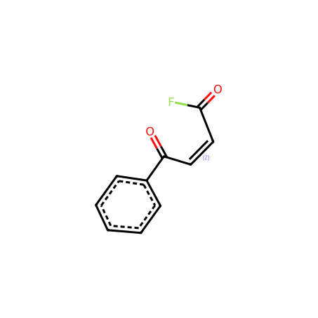 O=C(F)/C=C\C(=O)c1ccccc1